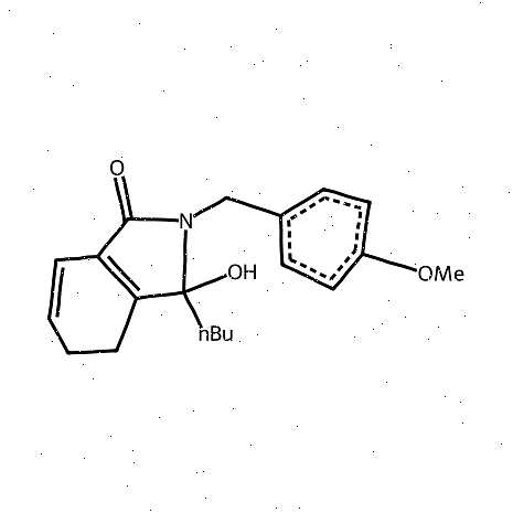 CCCCC1(O)C2=C(C=CCC2)C(=O)N1Cc1ccc(OC)cc1